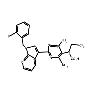 Nc1nc(-c2nn(Cc3ccccc3F)c3ncccc23)nc(N)c1N(CC(F)(F)F)C(=O)O